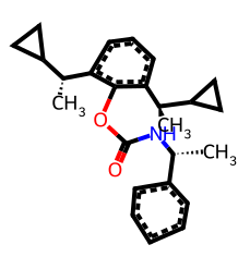 C[C@@H](NC(=O)Oc1c([C@H](C)C2CC2)cccc1[C@H](C)C1CC1)c1ccccc1